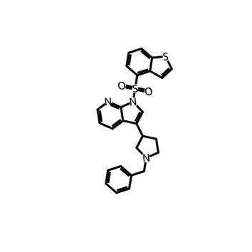 O=S(=O)(c1cccc2sccc12)n1cc(C2CCN(Cc3ccccc3)C2)c2cccnc21